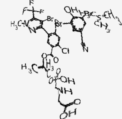 CC(C)OC(=O)c1cc(-c2nn(C)c(C(F)(F)F)c2Br)c(F)cc1Cl.C[S+](C)C.N#Cc1cc(Br)c(O)c(Br)c1.O=C(O)CNCP(=O)([O-])O